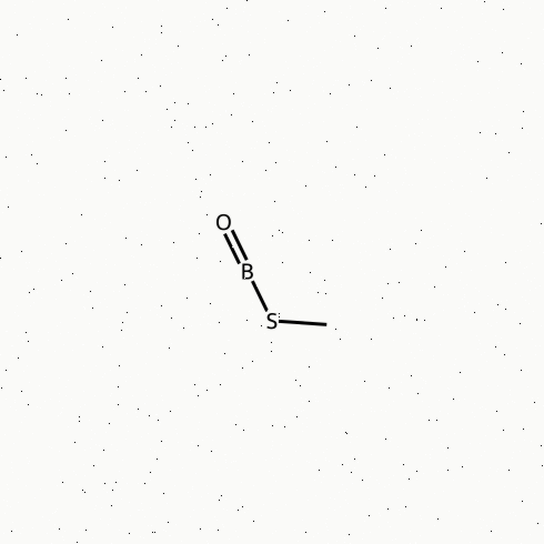 CSB=O